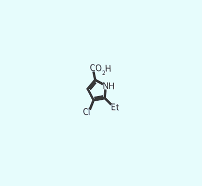 CCc1[nH]c(C(=O)O)cc1Cl